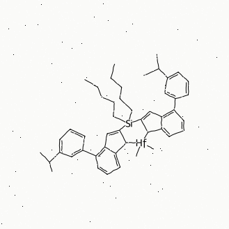 CCCCC[Si]1(CCCCC)C2=Cc3c(-c4cccc(C(C)C)c4)cccc3[CH]2[Hf]([CH3])([CH3])[CH]2C1=Cc1c(-c3cccc(C(C)C)c3)cccc12